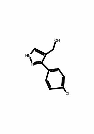 OCc1c[nH]nc1-c1ccc(Cl)cc1